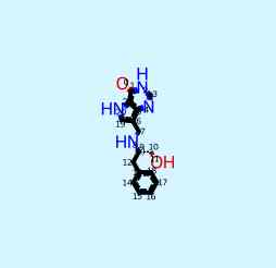 O=c1[nH]cnc2c(CN[C@H](CO)Cc3ccccc3)c[nH]c12